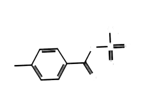 Cc1ccc(C(=O)OS(=O)(=O)C(F)(F)F)cc1